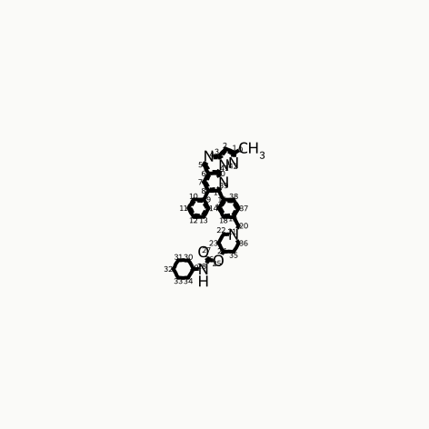 Cc1cc2ncc3cc(-c4ccccc4)c(-c4ccc(CN5CCC(OC(=O)NC6CCCCC6)CC5)cc4)nc3n2n1